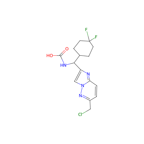 O=C(O)NC(c1cn2nc(CCl)ccc2n1)C1CCC(F)(F)CC1